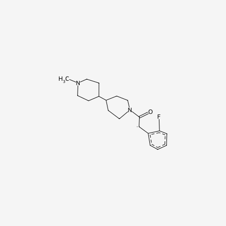 CN1CCC(C2CCN(C(=O)[CH]c3ccccc3F)CC2)CC1